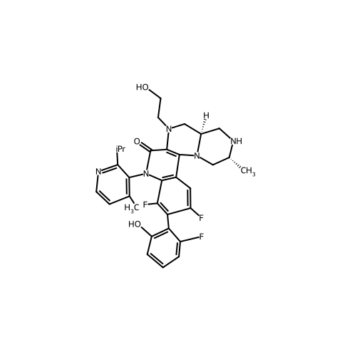 Cc1ccnc(C(C)C)c1-n1c(=O)c2c(c3cc(F)c(-c4c(O)cccc4F)c(F)c31)N1C[C@@H](C)NC[C@@H]1CN2CCO